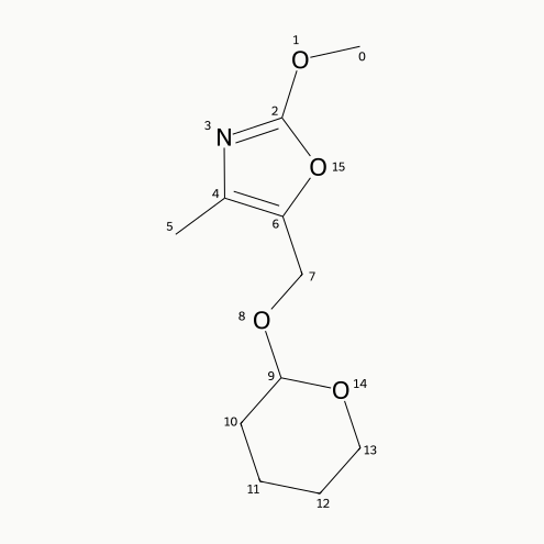 COc1nc(C)c(COC2CCCCO2)o1